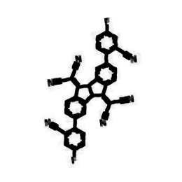 N#CC(C#N)=C1c2ccc(-c3ccc(F)cc3C#N)cc2C2C(=C(C#N)C#N)c3ccc(-c4ccc(F)cc4C#N)cc3C12